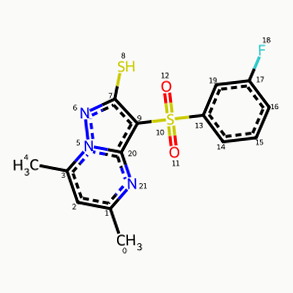 Cc1cc(C)n2nc(S)c(S(=O)(=O)c3cccc(F)c3)c2n1